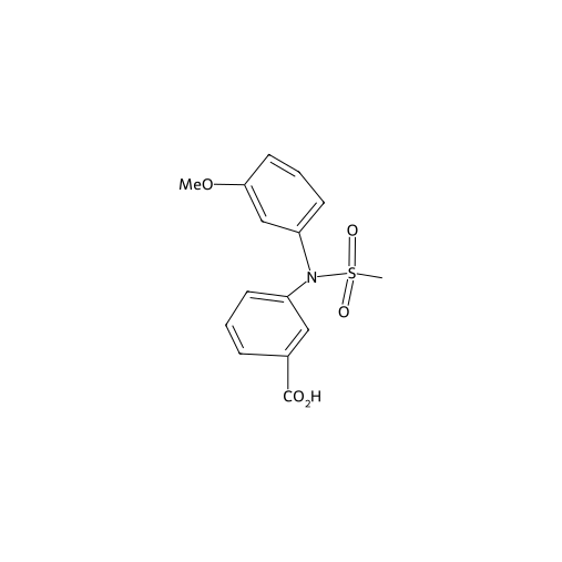 COc1cccc(N(c2cccc(C(=O)O)c2)S(C)(=O)=O)c1